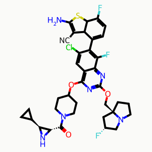 N#CC1=C(N)SC2C(F)=CC=C(c3c(Cl)cc4c(OC5CCN(C(=O)[C@@H]6N[C@H]6C6CC6)CC5)nc(OC[C@@]56CCCN5C[C@H](F)C6)nc4c3F)C12